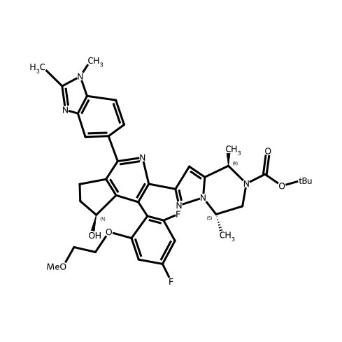 COCCOc1cc(F)cc(F)c1-c1c(-c2cc3n(n2)[C@@H](C)CN(C(=O)OC(C)(C)C)[C@@H]3C)nc(-c2ccc3c(c2)nc(C)n3C)c2c1[C@@H](O)CC2